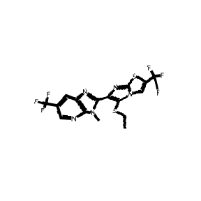 CCSc1c(-c2nc3cc(C(F)(F)F)cnc3n2C)nc2sc(C(F)(F)F)cn12